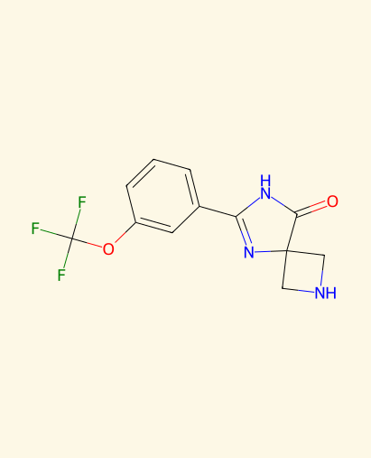 O=C1NC(c2cccc(OC(F)(F)F)c2)=NC12CNC2